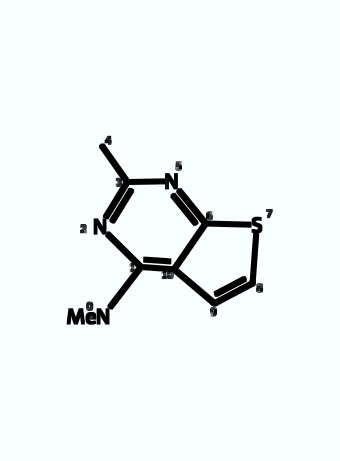 CNc1nc(C)nc2sccc12